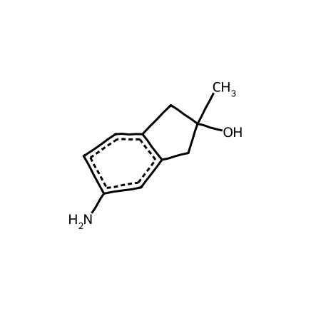 CC1(O)Cc2ccc(N)cc2C1